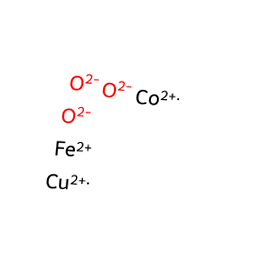 [Co+2].[Cu+2].[Fe+2].[O-2].[O-2].[O-2]